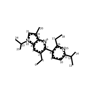 CCc1cc2c(nc1-c1ccc(C(C)C)nc1CC)c(C)cn2C(C)C